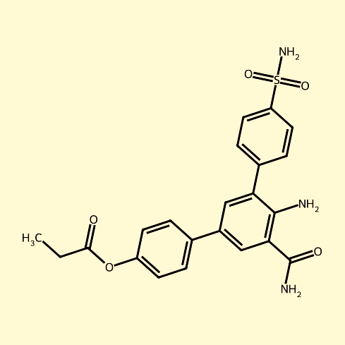 CCC(=O)Oc1ccc(-c2cc(C(N)=O)c(N)c(-c3ccc(S(N)(=O)=O)cc3)c2)cc1